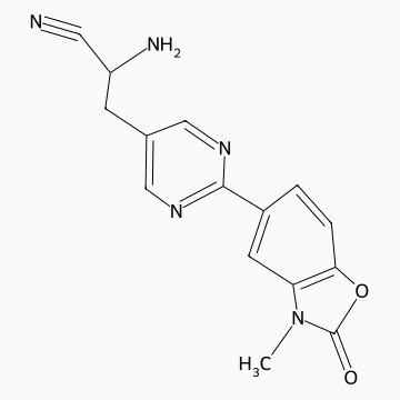 Cn1c(=O)oc2ccc(-c3ncc(CC(N)C#N)cn3)cc21